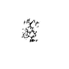 CNC(=O)[C@H]1CCCNN1C(=O)[C@@H](CC(C)C)[C@@H](C)C(=O)NO